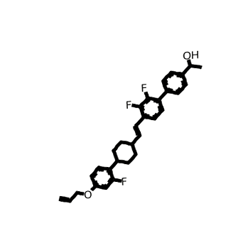 C=CCOc1ccc(C2CCC(/C=C/c3ccc(-c4ccc(C(C)O)cc4)c(F)c3F)CC2)c(F)c1